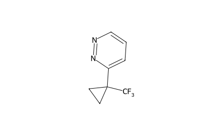 FC(F)(F)C1(c2cccnn2)CC1